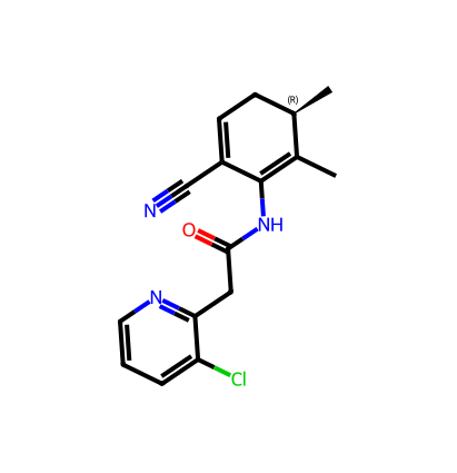 CC1=C(NC(=O)Cc2ncccc2Cl)C(C#N)=CC[C@H]1C